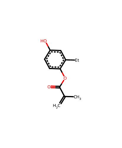 C=C(C)C(=O)Oc1ccc(O)cc1CC